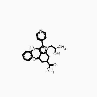 C[C@H](O)Cn1c2c(c(Nc3ccccc3)c1-c1ccncc1)C(=O)CC(C(N)=O)C2